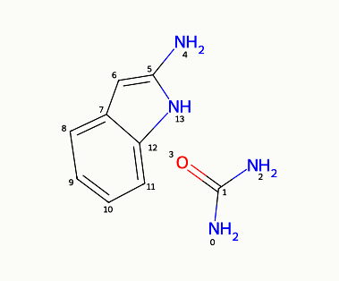 NC(N)=O.Nc1cc2ccccc2[nH]1